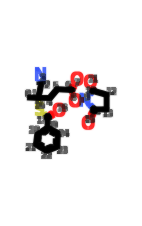 CC(C#N)(CCC(=O)ON1C(=O)CCC1=O)SC(=O)c1ccccc1